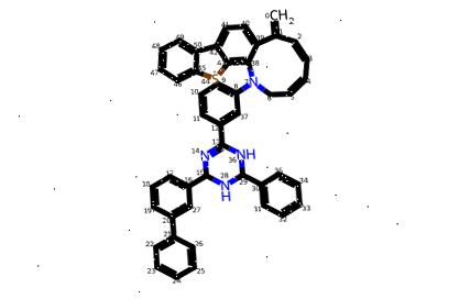 C=C1/C=C\C=C/CN(c2cccc(C3=NC(c4cccc(-c5ccccc5)c4)NC(c4ccccc4)N3)c2)c2c1ccc1c2sc2ccccc21